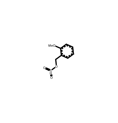 COc1cc[c]cc1CO[SH](=O)=O